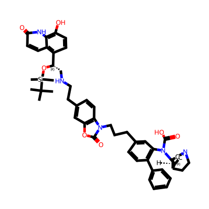 CC(C)(C)[Si](C)(C)O[C@@H](CNCCc1ccc2c(c1)oc(=O)n2CCCc1ccc(-c2ccccc2)c(N(C(=O)O)[C@H]2CN3CCC2CC3)c1)c1ccc(O)c2[nH]c(=O)ccc12